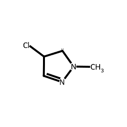 CN1[C]C(Cl)C=N1